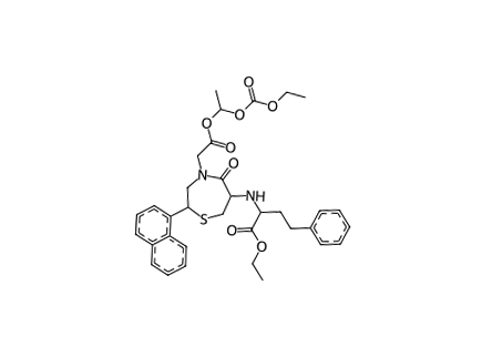 CCOC(=O)OC(C)OC(=O)CN1CC(c2cccc3ccccc23)SCC(NC(CCc2ccccc2)C(=O)OCC)C1=O